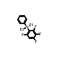 CC[N+](CC)(c1ccccc1)c1c(F)cc(F)c(F)c1F